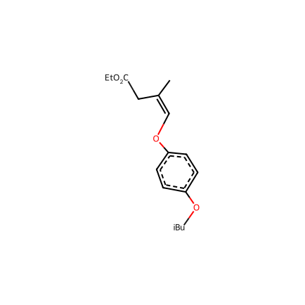 CCOC(=O)C/C(C)=C\Oc1ccc(OC(C)CC)cc1